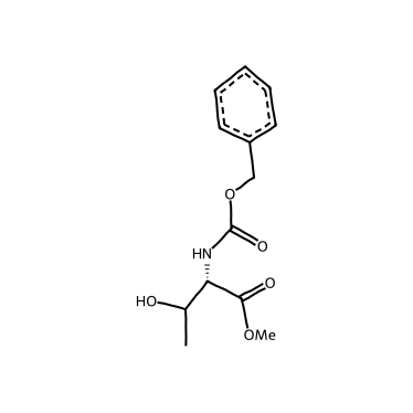 COC(=O)[C@@H](NC(=O)OCc1ccccc1)C(C)O